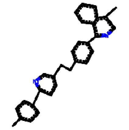 Cc1ccc(-c2ccc(CCc3ccc(-c4ncc(C)c5ccccc45)cc3)cn2)cc1